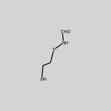 CCCCCSNC=O